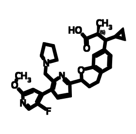 COc1cc(-c2ccc(C3CCc4ccc(C(C5CC5)[C@H](C)C(=O)O)cc4O3)nc2CN2CCCC2)c(F)cn1